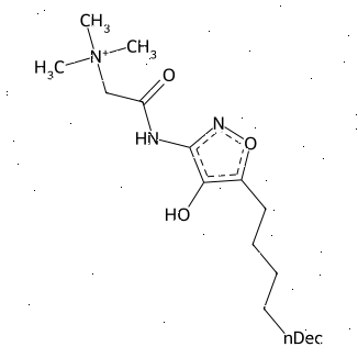 CCCCCCCCCCCCCCc1onc(NC(=O)C[N+](C)(C)C)c1O